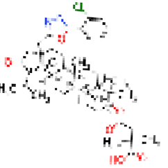 CC(C)C1=C2[C@H]3CC[C@@H]4[C@@]5(C)CC[C@H](OC(=O)CC(C)(C)C(=O)O)C(C)(C)[C@@H]5CC[C@@]4(C)[C@]3(C)CC[C@@]2(Cc2nnc(-c3ccccc3Cl)o2)CC1=O